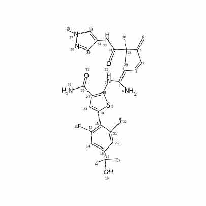 C=C(/C=C\C=C(/N)Nc1sc(-c2c(F)cc(C(C)(C)O)cc2F)cc1C(N)=O)C(C)(C)C(=O)Nc1cnn(C)c1